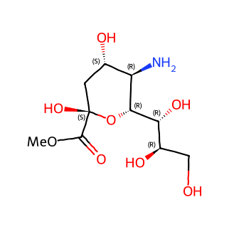 COC(=O)[C@]1(O)C[C@H](O)[C@@H](N)[C@H]([C@H](O)[C@H](O)CO)O1